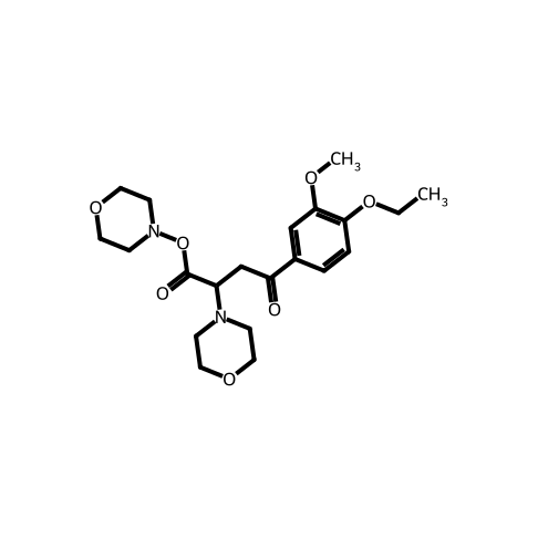 CCOc1ccc(C(=O)CC(C(=O)ON2CCOCC2)N2CCOCC2)cc1OC